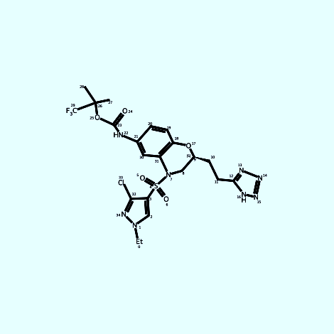 CCn1cc(S(=O)(=O)N2C[C@H](CCc3nnn[nH]3)Oc3ccc(NC(=O)OC(C)(C)C(F)(F)F)cc32)c(Cl)n1